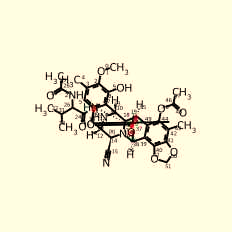 COc1c(C)cc2c(c1O)[C@H]1N[C@@H](C2)[C@H](C#N)N2C1[C@@H]1SC[C@H](NC(=O)C(NC(C)=O)C(C)C)C(=O)OC[C@H]2c2c3c(c(C)c(OC(C)=O)c21)OCO3